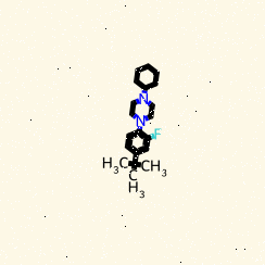 CC(C)(C)c1ccc(N2CCN(C3CCCCC3)CC2)c(F)c1